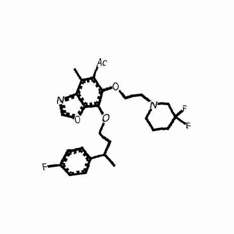 CC(=O)c1c(OCCN2CCCC(F)(F)C2)c(OCCC(C)c2ccc(F)cc2)c2ocnc2c1C